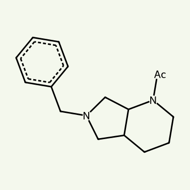 CC(=O)N1CCCC2CN(Cc3ccccc3)CC21